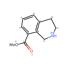 COC(=O)c1cccc2c1CNCC2